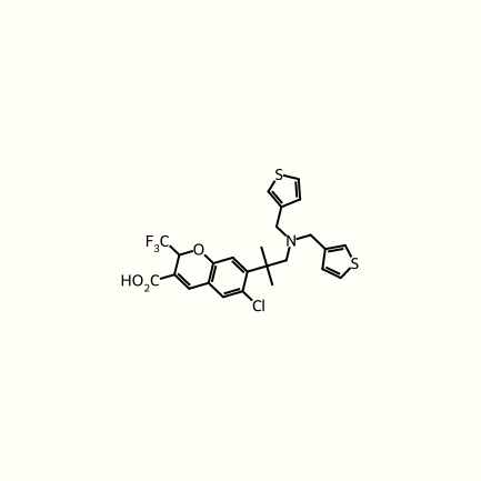 CC(C)(CN(Cc1ccsc1)Cc1ccsc1)c1cc2c(cc1Cl)C=C(C(=O)O)C(C(F)(F)F)O2